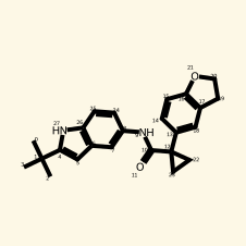 CC(C)(C)c1cc2cc(NC(=O)C3(c4ccc5c(c4)CCO5)CC3)ccc2[nH]1